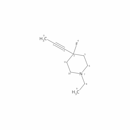 CC#CC1(F)CCN(CC)CC1